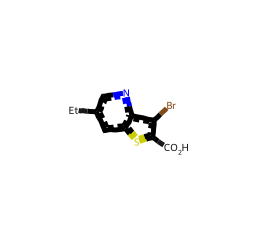 CCc1cnc2c(Br)c(C(=O)O)sc2c1